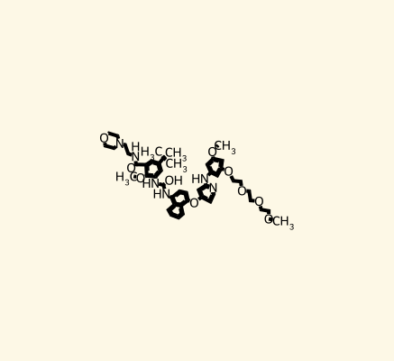 COCCOCCOCCOc1cc(Nc2cc(Oc3ccc(NC(O)Nc4cc(C(C)(C)C)cc(C(=O)NCCN5CCOCC5)c4OC)c4ccccc34)ccn2)cc(OC)c1